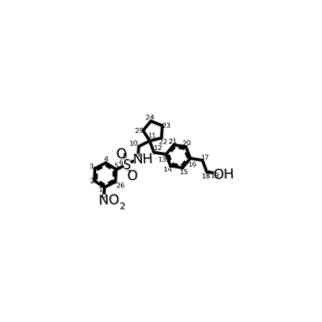 O=[N+]([O-])c1cccc(S(=O)(=O)NCC2(Cc3ccc(CCO)cc3)CCCC2)c1